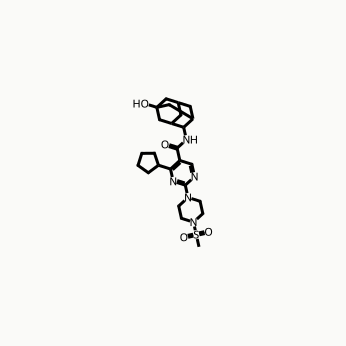 CS(=O)(=O)N1CCN(c2ncc(C(=O)NC3C4CC5CC3CC(O)(C5)C4)c(C3CCCC3)n2)CC1